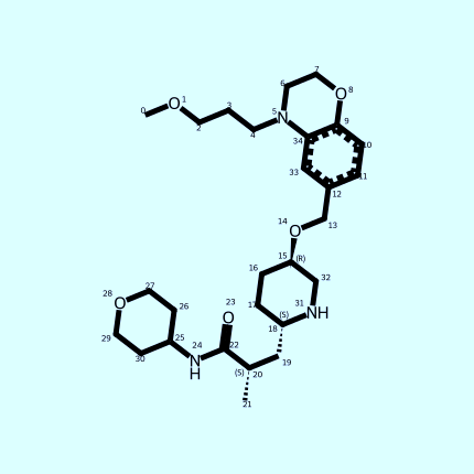 COCCCN1CCOc2ccc(CO[C@@H]3CC[C@@H](C[C@H](C)C(=O)NC4CCOCC4)NC3)cc21